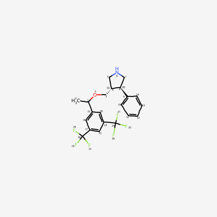 CC(OC[C@@H]1CNC[C@H]1c1ccccc1)c1cc(C(F)(F)F)cc(C(F)(F)F)c1